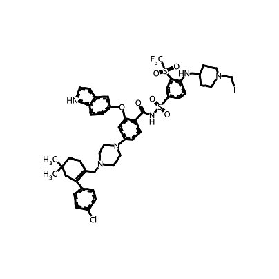 CC1(C)CCC(CN2CCN(c3ccc(C(=O)NS(=O)(=O)c4ccc(NC5CCN(CI)CC5)c(S(=O)(=O)C(F)(F)F)c4)c(Oc4ccc5[nH]ccc5c4)c3)CC2)=C(c2ccc(Cl)cc2)C1